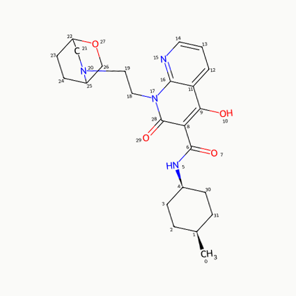 C[C@H]1CC[C@@H](NC(=O)c2c(O)c3cccnc3n(CCN3CC4CCC3CO4)c2=O)CC1